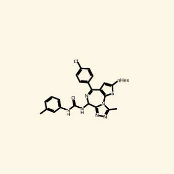 CCCCCCc1cc2c(s1)-n1c(C)nnc1C(NC(=O)Nc1cccc(C)c1)N=C2c1ccc(Cl)cc1